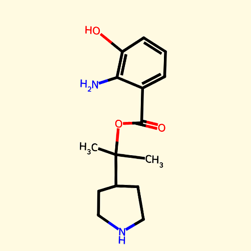 CC(C)(OC(=O)c1cccc(O)c1N)C1CCNCC1